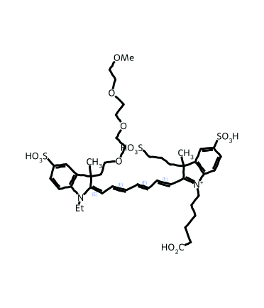 CCN1/C(=C/C=C/C=C/C=C/C2=[N+](CCCCCC(=O)O)c3ccc(S(=O)(=O)O)cc3C2(C)CCCS(=O)(=O)O)C(C)(CCOCCOCCOCCOC)c2cc(S(=O)(=O)O)ccc21